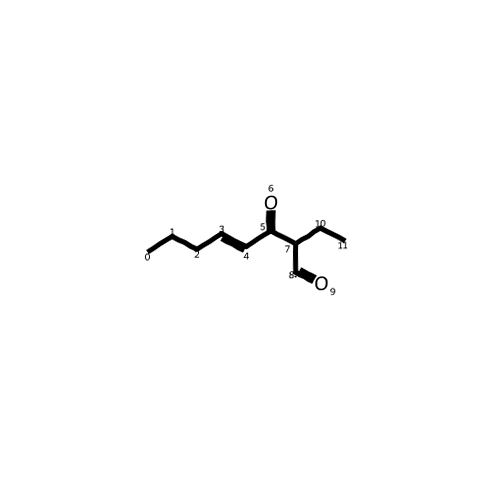 CCCC=CC(=O)C([C]=O)CC